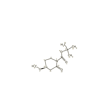 CO[C@H]1CCN(C(=O)OC(C)(C)C)C(=O)C1